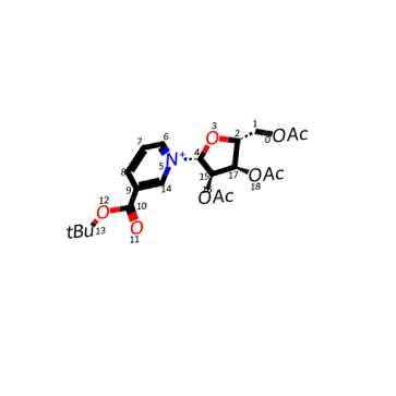 CC(=O)OC[C@H]1O[C@@H]([n+]2cccc(C(=O)OC(C)(C)C)c2)[C@H](OC(C)=O)[C@@H]1OC(C)=O